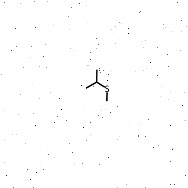 [CH]C(C)SC